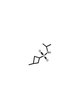 CC1CC(S(=O)(=O)NC(C)C)C1